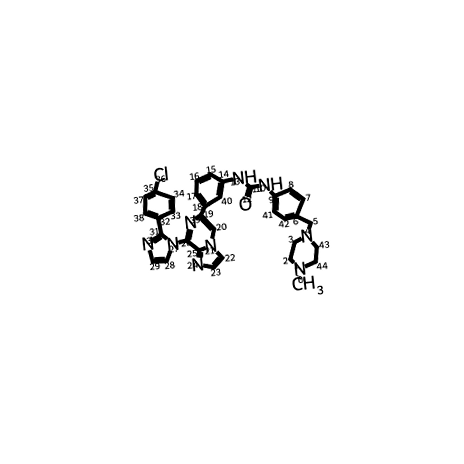 CN1CCN(Cc2ccc(NC(=O)Nc3cccc(-c4cn5ccnc5c(-n5ccnc5-c5ccc(Cl)cc5)n4)c3)cc2)CC1